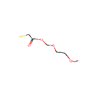 COCCOCOC(=O)CS